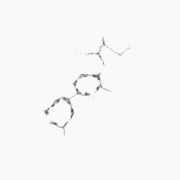 Cc1nc(-c2ccnc(C(F)(F)F)c2)ccc1OC(N)C(C)CC(C)C